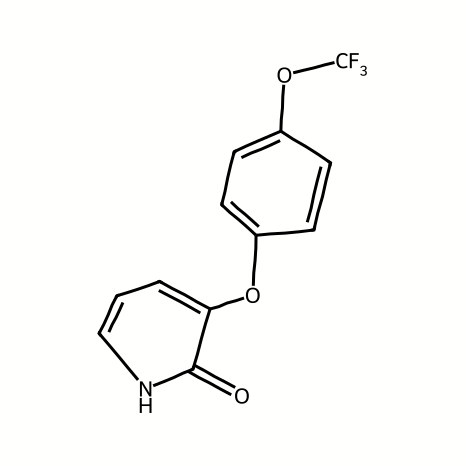 O=c1[nH]cccc1Oc1ccc(OC(F)(F)F)cc1